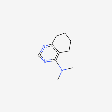 CN(C)c1ncnc2c1CCCC2